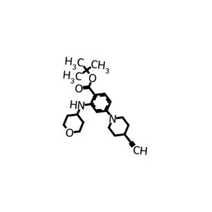 C#CC1CCN(c2ccc(C(=O)OC(C)(C)C)c(NC3CCOCC3)c2)CC1